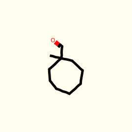 CC1(C=O)CCCCCCC1